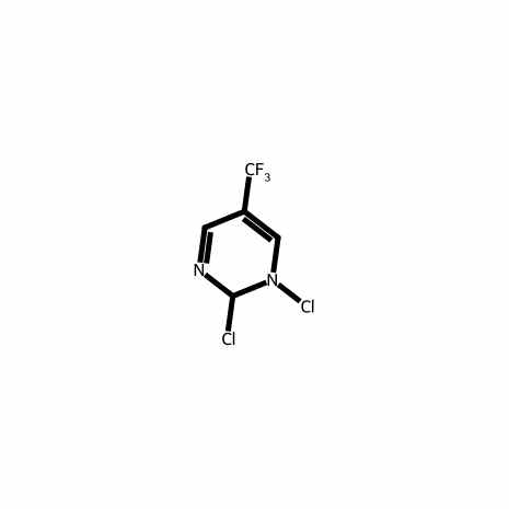 FC(F)(F)C1=CN(Cl)C(Cl)N=C1